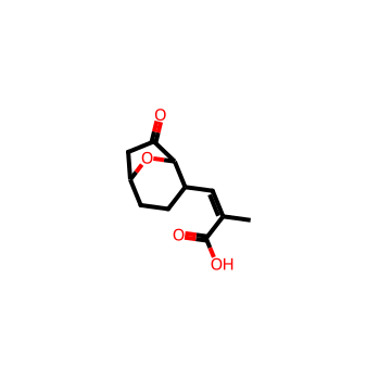 CC(=CC1CCC2CC(=O)C1O2)C(=O)O